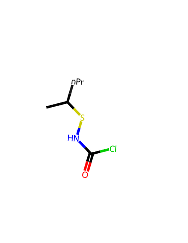 CCCC(C)SNC(=O)Cl